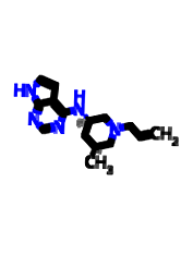 C=CCN1C[C@@H](C)C[C@H](Nc2ncnc3[nH]ccc23)C1